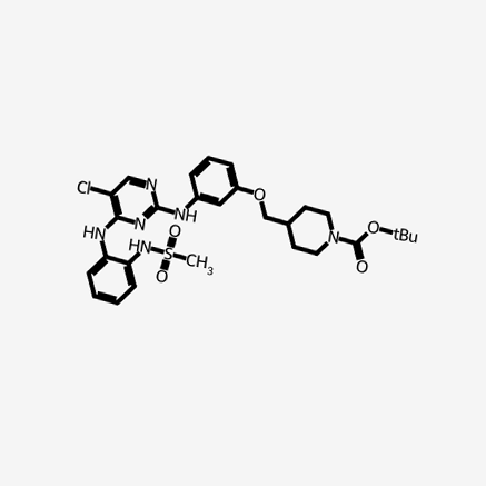 CC(C)(C)OC(=O)N1CCC(COc2cccc(Nc3ncc(Cl)c(Nc4ccccc4NS(C)(=O)=O)n3)c2)CC1